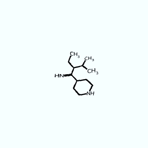 CCC(C(=N)C1CCNCC1)C(C)C